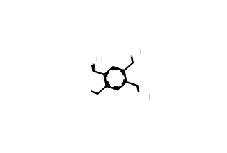 C=Cc1cc(CC)c(CC)cc1CC